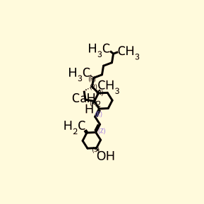 C=C1CC[C@H](O)C/C1=C/C=C1\CCC[C@]2(C)[C@@H]([C@H](C)CCCC(C)C)CC[C@@H]12.[CaH2]